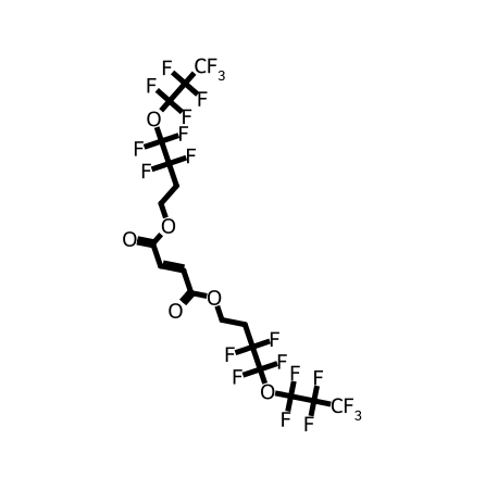 O=C(C=CC(=O)OCCC(F)(F)C(F)(F)OC(F)(F)C(F)(F)C(F)(F)F)OCCC(F)(F)C(F)(F)OC(F)(F)C(F)(F)C(F)(F)F